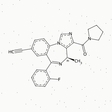 C#Cc1ccc2c(c1)C(c1ccccc1F)=N[C@H](C)c1c(C(=O)N3CCCC3)ncn1-2